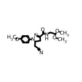 COc1ccc(N2N=C(C(=O)NCC(OC)OC)CC2CC#N)cc1